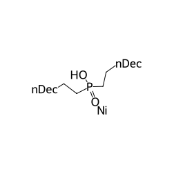 CCCCCCCCCCCCP(=O)(O)CCCCCCCCCCCC.[Ni]